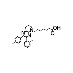 Cc1ccc(-c2nc3c(nc2-c2ccccc2C)N(CCCCCCC(=O)O)CCC3)cc1